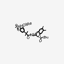 COc1cc(C(C)(C)C(=O)NCC(COC(=O)C(C)(C)C)Cc2ccc(C)c(C)c2)ccc1NS(C)(=O)=O